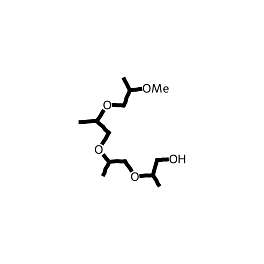 COC(C)COC(C)COC(C)COC(C)CO